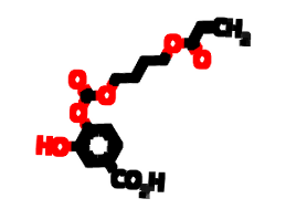 C=CC(=O)OCCCCOC(=O)Oc1ccc(C(=O)O)cc1O